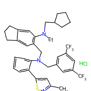 CCN(CC1CCCC1)c1cc2c(cc1CN(Cc1cc(C(F)(F)F)cc(C(F)(F)F)c1)c1ccccc1-c1cc(C)ns1)CCC2.Cl